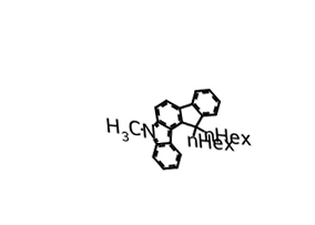 CCCCCCC1(CCCCCC)c2ccccc2-c2ccc3c(c21)c1ccccc1n3C